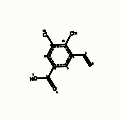 C=Cc1cc(C(=O)O)cc(Cl)c1Cl